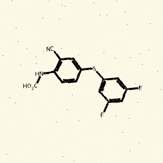 N#Cc1cc(Sc2cc(F)cc(F)c2)ccc1NC(=O)O